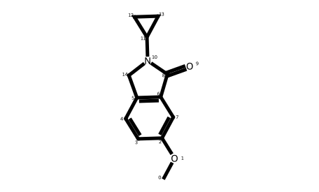 COc1ccc2c(c1)C(=O)N(C1CC1)C2